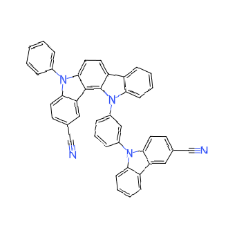 N#Cc1ccc2c(c1)c1ccccc1n2-c1cccc(-n2c3ccccc3c3ccc4c(c5cc(C#N)ccc5n4-c4ccccc4)c32)c1